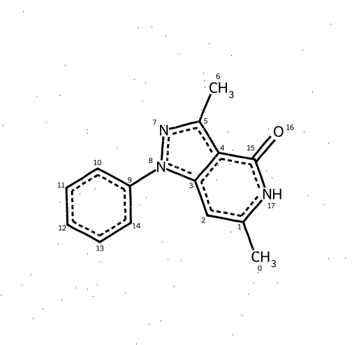 Cc1cc2c(c(C)nn2-c2ccccc2)c(=O)[nH]1